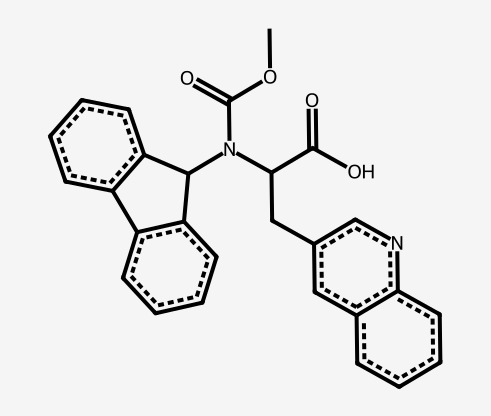 COC(=O)N(C(Cc1cnc2ccccc2c1)C(=O)O)C1c2ccccc2-c2ccccc21